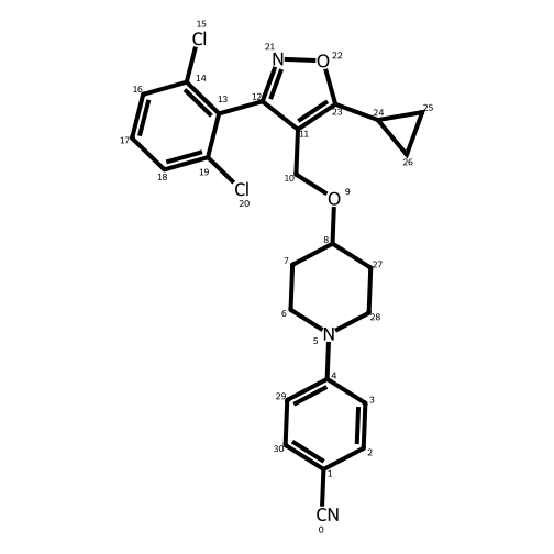 N#Cc1ccc(N2CCC(OCc3c(-c4c(Cl)cccc4Cl)noc3C3CC3)CC2)cc1